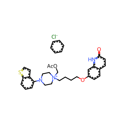 CC(=O)OC[N+]1(CCCCOc2ccc3ccc(=O)[nH]c3c2)CCN(c2cccc3sccc23)CC1.[Cl-].c1ccccc1